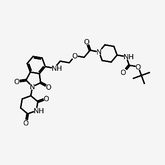 CC(C)(C)OC(=O)NC1CCN(C(=O)COCCNc2cccc3c2C(=O)N(C2CCC(=O)NC2=O)C3=O)CC1